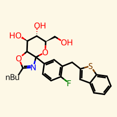 CCCCC1=NC2(c3ccc(F)c(Cc4cc5ccccc5s4)c3)O[C@H](CO)[C@@H](O)[C@H](O)C2O1